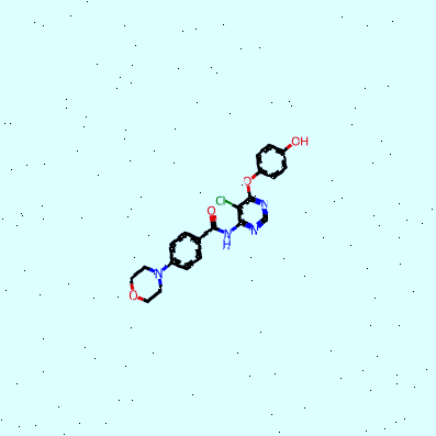 O=C(Nc1ncnc(Oc2ccc(O)cc2)c1Cl)c1ccc(N2CCOCC2)cc1